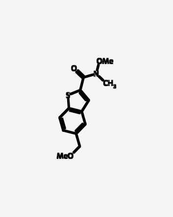 COCc1ccc2sc(C(=O)N(C)OC)cc2c1